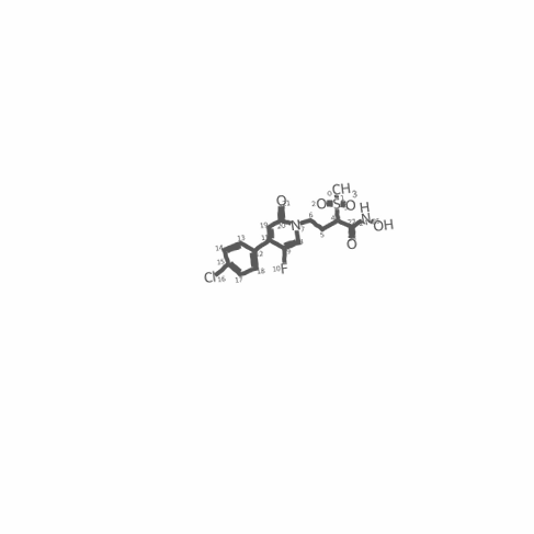 CS(=O)(=O)C(CCn1cc(F)c(-c2ccc(Cl)cc2)cc1=O)C(=O)NO